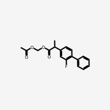 CC(=O)OCOC(=O)C(C)c1ccc(-c2ccccc2)c(F)c1